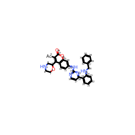 CC(=O)c1c(C2CNCCO2)c2ccc(Nc3nccc(-c4ccccc4NCc4ccccc4)n3)cc2oc1=O